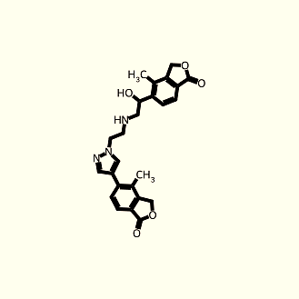 Cc1c(-c2cnn(CCNCC(O)c3ccc4c(c3C)COC4=O)c2)ccc2c1COC2=O